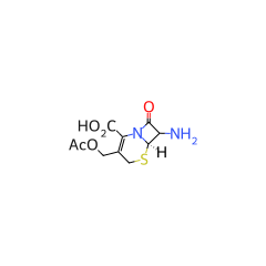 CC(=O)OCC1=C(C(=O)O)N2C(=O)C(N)[C@H]2SC1